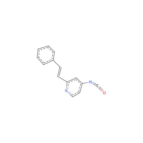 O=C=Nc1ccnc(C=Cc2ccccc2)c1